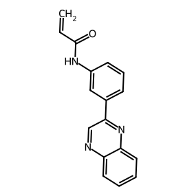 C=CC(=O)Nc1cccc(-c2cnc3ccccc3n2)c1